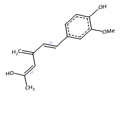 C=C(/C=C(/C)O)/C=C/c1ccc(O)c(OC)c1